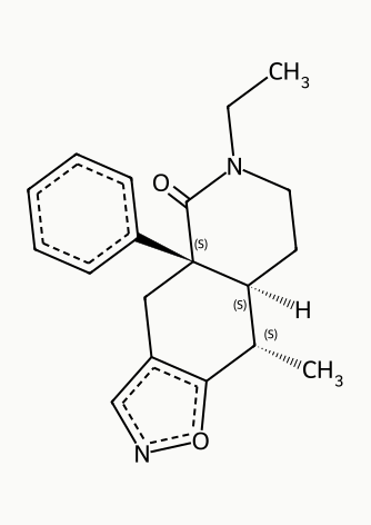 CCN1CC[C@H]2[C@H](C)c3oncc3C[C@]2(c2ccccc2)C1=O